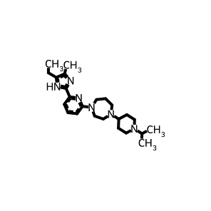 CCc1[nH]c(-c2cccc(N3CCCN(C4CCN(C(C)C)CC4)CC3)n2)nc1C